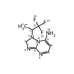 CC(N1CN=C2N=CC=C(N)N21)C(F)(F)F